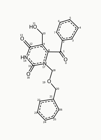 O=C(c1ccccc1)c1c(CO)c(=O)[nH]c(=O)n1COCc1ccccc1